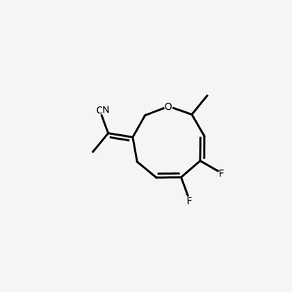 C/C(C#N)=C1\C/C=C(F)\C(F)=C/C(C)OC1